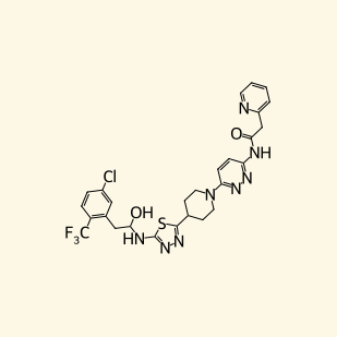 O=C(Cc1ccccn1)Nc1ccc(N2CCC(c3nnc(NC(O)Cc4cc(Cl)ccc4C(F)(F)F)s3)CC2)nn1